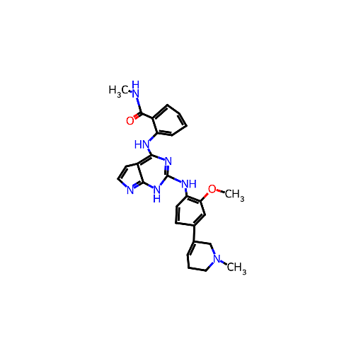 CNC(=O)c1ccccc1Nc1nc(Nc2ccc(C3=CCCN(C)C3)cc2OC)[nH]c2nccc1-2